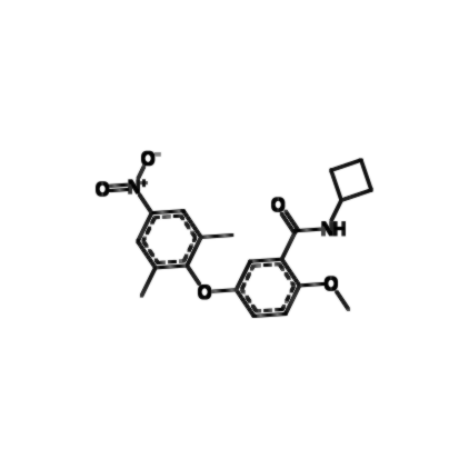 COc1ccc(Oc2c(C)cc([N+](=O)[O-])cc2C)cc1C(=O)NC1CCC1